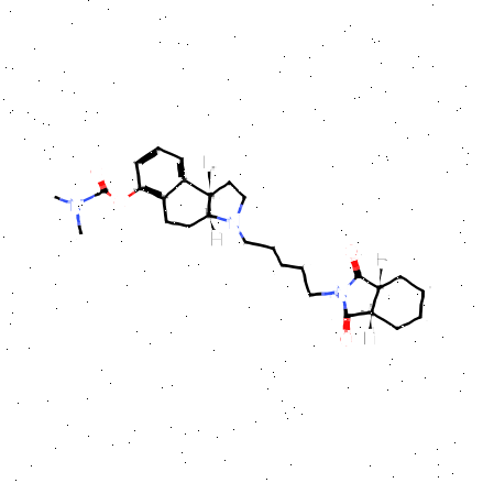 CN(C)C(=O)Oc1cccc2c1CC[C@@H]1[C@H]2CCN1CCCCCN1C(=O)[C@H]2CCCC[C@H]2C1=O